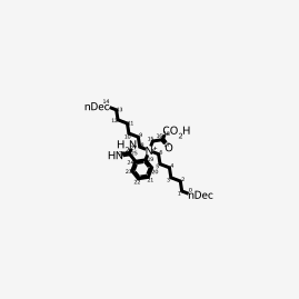 CCCCCCCCCCCCCCCC[N+](CCCCCCCCCCCCCCCC)(CC(=O)C(=O)O)c1ccccc1C(=N)N